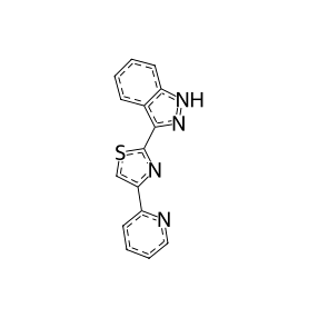 c1ccc(-c2csc(-c3n[nH]c4ccccc34)n2)nc1